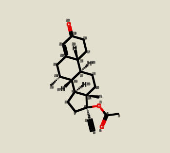 C#C[C@]1(OC(C)=O)CC[C@H]2[C@H]3[C@H](CC[C@@]21C)[C@H]1CCC(=O)C=C1C[C@H]3C